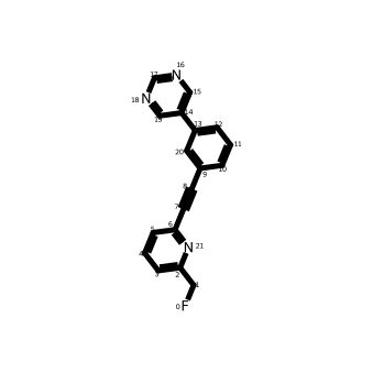 FCc1cccc(C#Cc2cccc(-c3cncnc3)c2)n1